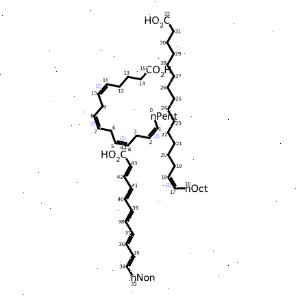 CCCCC/C=C\C/C=C\C/C=C\C/C=C\CCCC(=O)O.CCCCCCCC/C=C\CCCCCCCCCCCCCC(=O)O.CCCCCCCCCC=CC=CC=CC=CC=CC(=O)O